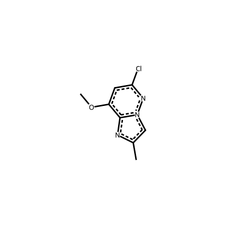 COc1cc(Cl)nn2cc(C)nc12